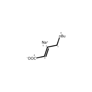 CCCCCC=CC(=O)[O-].[Na+]